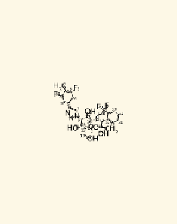 Cc1c(F)cc(-c2cn([C@H]3[C@@H](O)[C@@H](CO)O[C@@H](S[C@H](c4ccccc4C(F)(F)F)C(C)(C)O)[C@@H]3O)nn2)cc1F